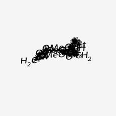 C=C1CC2C=Nc3cc(OCCCCCOc4cc5c(cc4OC)C(=O)N4CC(=C)C[C@H]4C(O)N5C(=O)OCC4(SSCC)CCC4)c(OC)cc3C(=O)N2C1